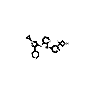 FC1(c2cc(Nc3ncccc3Oc3cn(C4CC4)nc3C3CCOCC3)ccn2)CNC1